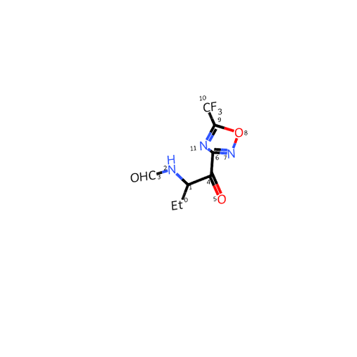 CCC(NC=O)C(=O)c1noc(C(F)(F)F)n1